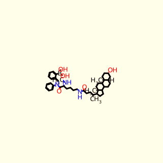 CNC(CCCCNC(=O)CCC(C)C1CCC2C3CC[C@H]4C[C@@H](O)CC[C@@]4(C)C3CC[C@@]12C)C(=O)N(Cc1ccccc1B(O)O)c1ccccc1